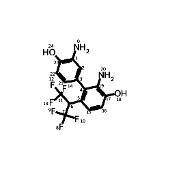 Nc1cc(-c2c(C(C(F)(F)F)C(F)(F)F)ccc(O)c2N)ccc1O